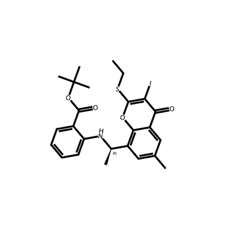 CCSc1oc2c([C@@H](C)Nc3ccccc3C(=O)OC(C)(C)C)cc(C)cc2c(=O)c1I